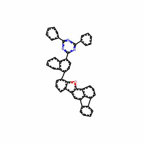 c1ccc(-c2nc(-c3ccccc3)nc(-c3ccc(-c4cccc5c4oc4c6cccc7c6c(cc54)-c4ccccc4-7)c4ccccc34)n2)cc1